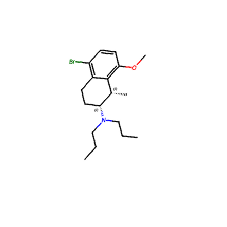 CCCN(CCC)[C@@H]1CCc2c(Br)ccc(OC)c2[C@@H]1C